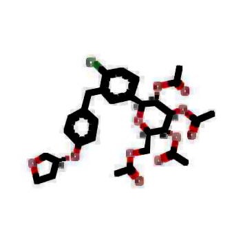 CC(=O)OC[C@H]1O[C@@H](c2ccc(Cl)c(Cc3ccc(O[C@@H]4CCOC4)cc3)c2)[C@H](OC(C)=O)[C@@H](OC(C)=O)[C@@H]1OC(C)=O